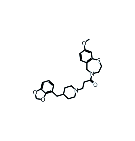 COc1ccc2c(c1)SCCN(C(=O)CCN1CCC(Cc3cccc4c3OCO4)CC1)C2